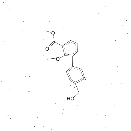 COC(=O)c1cccc(-c2ccc(CO)nc2)c1OC